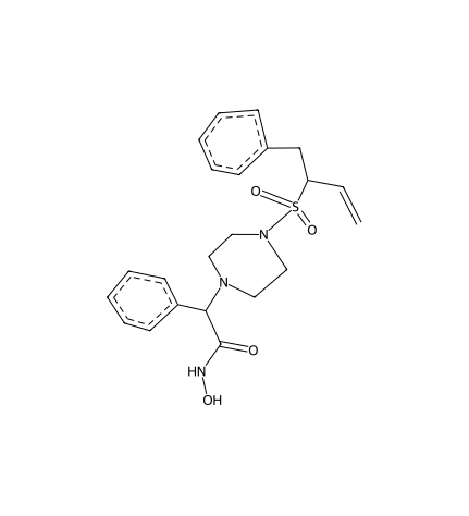 C=CC(Cc1ccccc1)S(=O)(=O)N1CCN(C(C(=O)NO)c2ccccc2)CC1